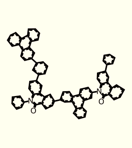 O=c1c2ccccc2c2cc(-c3ccccc3)ccc2n1-c1ccc2c3ccc(-c4ccc5c(=O)n(-c6ccccc6)c6ccc(-c7cccc(-c8ccc9c%10ccccc%10c%10ccccc%10c9c8)c7)cc6c5c4)cc3c3ccccc3c2c1